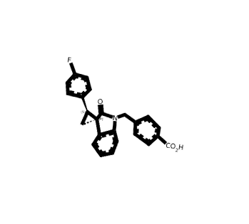 O=C(O)c1ccc(CN2C(=O)[C@@]3(C[C@H]3c3ccc(F)cc3)c3ccccc32)cc1